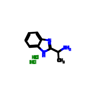 CC(N)c1nc2ccccc2[nH]1.Cl.Cl